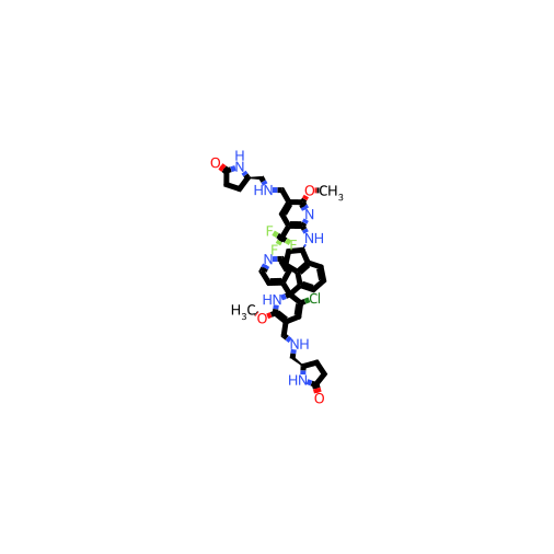 COC1=C(CNC[C@H]2CCC(=O)N2)C=C(Cl)C(c2ccncc2)(c2cccc3c2CC[C@@H]3Nc2nc(OC)c(CNC[C@H]3CCC(=O)N3)cc2C(F)(F)F)N1